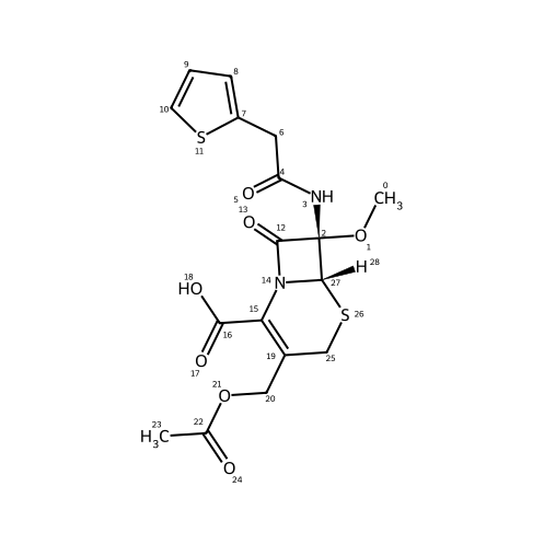 CO[C@@]1(NC(=O)Cc2cccs2)C(=O)N2C(C(=O)O)=C(COC(C)=O)CS[C@H]21